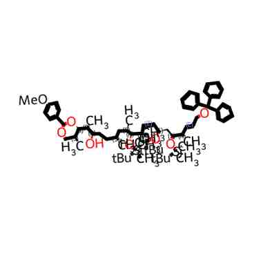 COc1ccc(C2OC[C@H](C)[C@@H]([C@@H](C)[C@H](O)CC[C@H](C)C[C@H](C)[C@@H](O[Si](C)(C)C(C)(C)C)[C@@H](C)/C=C\[C@H](C[C@H](O[Si](C)(C)C(C)(C)C)[C@H](C)/C=C/COC(c3ccccc3)(c3ccccc3)c3ccccc3)O[Si](C)(C)C(C)(C)C)O2)cc1